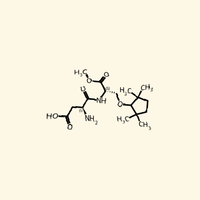 COC(=O)[C@H](COC1C(C)(C)CCC1(C)C)NC(=O)[C@@H](N)CC(=O)O